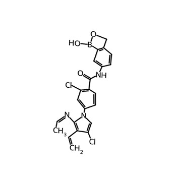 C=Cc1c(Cl)cn(-c2ccc(C(=O)Nc3ccc4c(c3)B(O)OC4)c(Cl)c2)c1/N=C\C